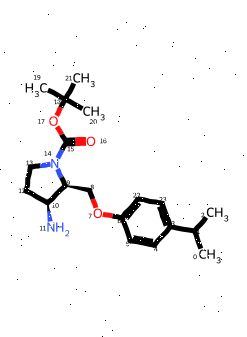 CC(C)c1ccc(OC[C@H]2[C@@H](N)CCN2C(=O)OC(C)(C)C)cc1